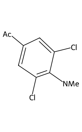 CNc1c(Cl)cc(C(C)=O)cc1Cl